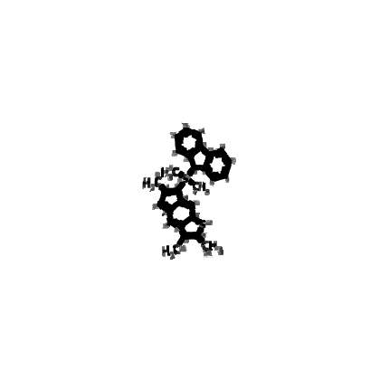 CC1=C([Si](C)(C)C2c3ccccc3-c3ccccc32)C2=CC3SC(C)=C(C)C3=CC2=C1